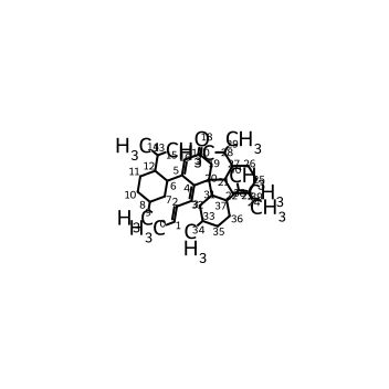 CC=CC=C1C(C2CC(C)CCC2C(C)C)=CC(=O)CC1(C1CC(C)CCC1C(C)C)C1CC(C)CCC1C(C)C